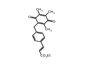 CCOC(=O)C=Cc1ccc(CC2=C(C)C(=O)C(C)=C(C)C2=O)cc1